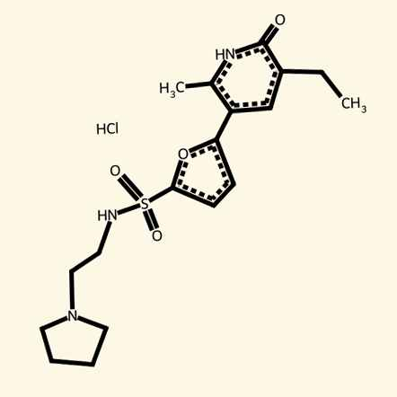 CCc1cc(-c2ccc(S(=O)(=O)NCCN3CCCC3)o2)c(C)[nH]c1=O.Cl